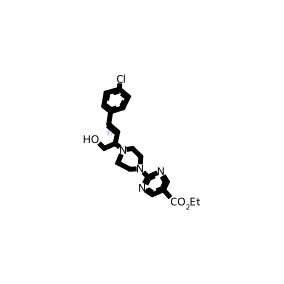 CCOC(=O)c1cnc(N2CCN(C(/C=C/c3ccc(Cl)cc3)CO)CC2)nc1